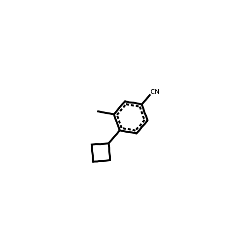 Cc1cc(C#N)ccc1C1CCC1